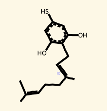 CC(C)=CCC/C(C)=C/Cc1c(O)cc(S)cc1O